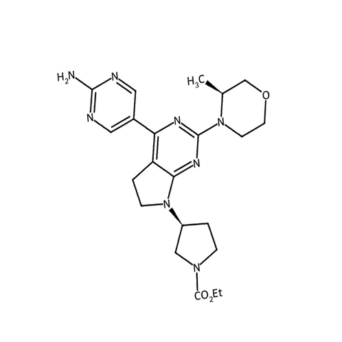 CCOC(=O)N1CC[C@H](N2CCc3c(-c4cnc(N)nc4)nc(N4CCOC[C@@H]4C)nc32)C1